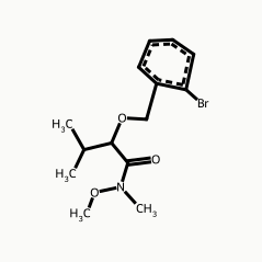 CON(C)C(=O)C(OCc1ccccc1Br)C(C)C